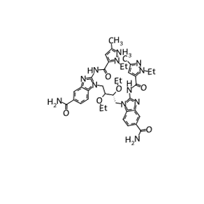 CCOC(Cn1c(NC(=O)c2cc(C)nn2CC)nc2cc(C(N)=O)ccc21)[C@@H](Cn1c(NC(=O)c2cc(C)nn2CC)nc2cc(C(N)=O)ccc21)OCC